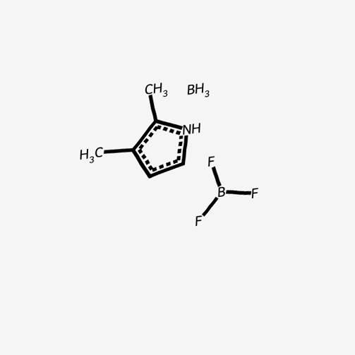 B.Cc1cc[nH]c1C.FB(F)F